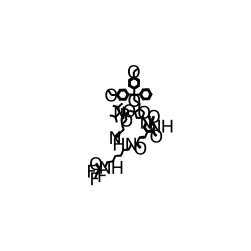 COc1ccc(C(OCC2OC(n3cc(C=CC(=O)NCCCCCCNC(=O)C(F)(F)F)c(=O)[nH]c3=O)CC2OP(OCCC#N)N(C(C)C)C(C)C)(c2ccccc2)c2ccc(OC)cc2)cc1